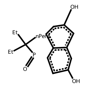 CCCCCC(CC)(CC)P=O.Oc1ccc2ccc(O)cc2c1